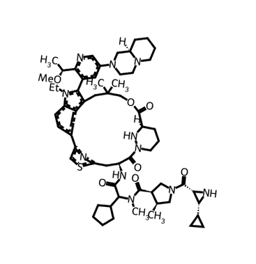 CCn1c(-c2cc(N3CCN4CCCC[C@@H]4C3)cnc2[C@H](C)OC)c2c3cc(ccc31)-c1csc(n1)C[C@H](NC(=O)C(C1CCCC1)N(C)C(=O)[C@H]1CN(C(=O)[C@@H]3N[C@@H]3C3CC3)C[C@H]1C)C(=O)N1CCC[C@H](N1)C(=O)OCC(C)(C)C2